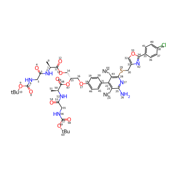 C[C@H](NC(=O)CNC(=O)OC(C)(C)C)C(=O)OC[C@H](COc1ccc(-c2c(C#N)c(N)nc(SCc3coc(-c4ccc(Cl)cc4)n3)c2C#N)cc1)OC(=O)[C@H](C)NC(=O)CNC(=O)OC(C)(C)C